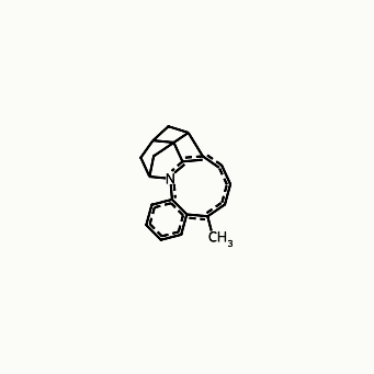 Cc1cccc2c3n(c4ccccc14)C1CC(C3)CC2C1